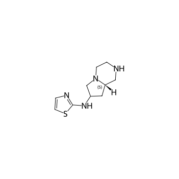 c1csc(NC2C[C@H]3CNCCN3C2)n1